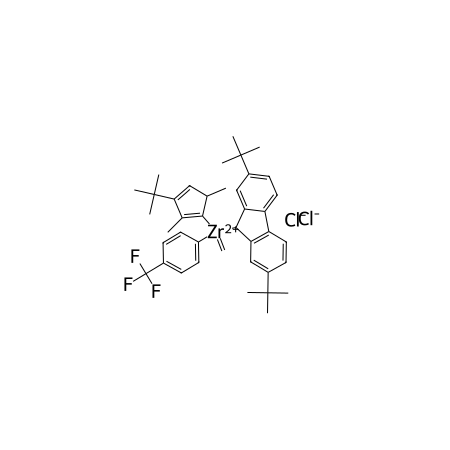 [CH2]=[Zr+2]([C]1=C(C)C(C(C)(C)C)=CC1C)([c]1ccc(C(F)(F)F)cc1)[CH]1c2cc(C(C)(C)C)ccc2-c2ccc(C(C)(C)C)cc21.[Cl-].[Cl-]